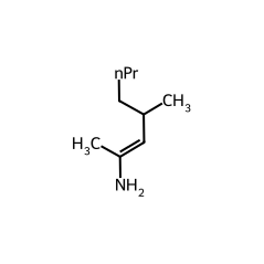 CCCCC(C)/C=C(\C)N